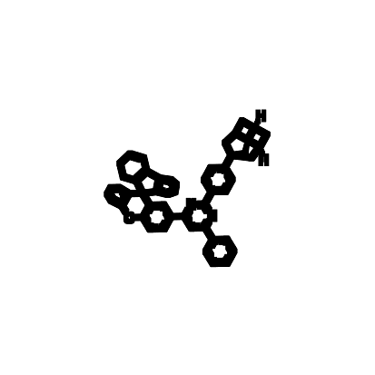 C1=CC2=C(CC1)C1(c3ccccc3Oc3ccc(-c4cc(-c5ccccc5)nc(-c5ccc(C67CC8C[C@H]9C[C@H](C6)[C@]89C7)cc5)n4)cc31)c1ccccc12